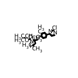 Cc1cc(-c2ccnc(Cl)n2)ccc1OCC(C)(CC(C)C)NC(=O)OC(C)(C)C